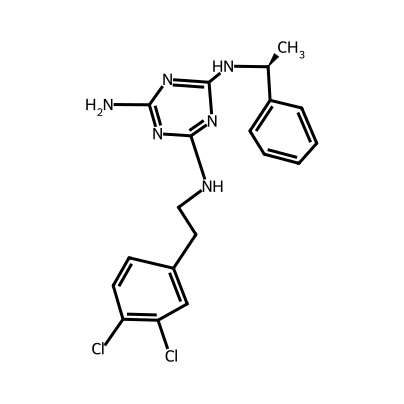 C[C@H](Nc1nc(N)nc(NCCc2ccc(Cl)c(Cl)c2)n1)c1ccccc1